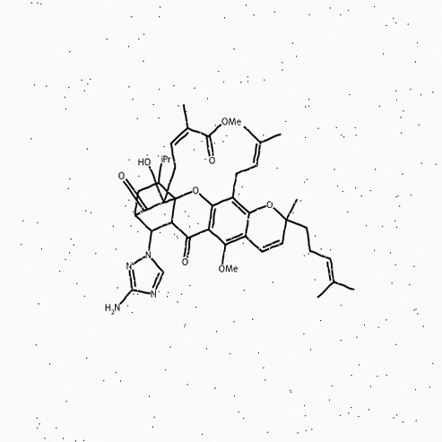 COC(=O)/C(C)=C\CC1(O)C(=O)C2CC(C(C)C)C13Oc1c(CC=C(C)C)c4c(c(OC)c1C(=O)C3C2n1cnc(N)n1)C=CC(C)(CCC=C(C)C)O4